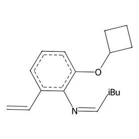 C=Cc1cccc(OC2CCC2)c1/N=C\C(C)CC